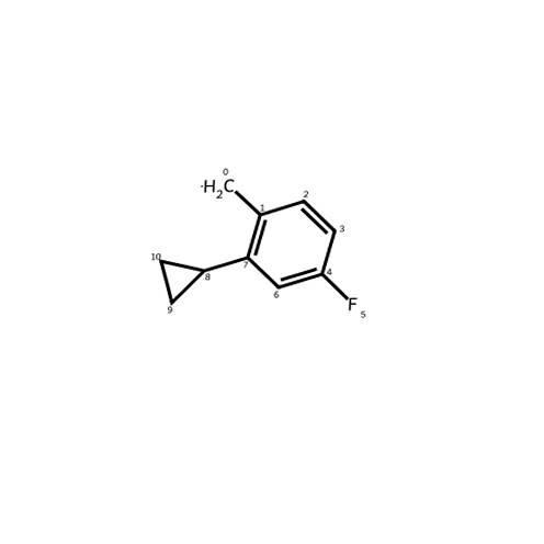 [CH2]c1ccc(F)cc1C1CC1